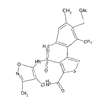 CC(=O)OCc1c(C)cc(C)c(-c2csc(C(N)=O)c2S(=O)(=O)Nc2onc(C)c2Cl)c1C